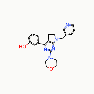 Oc1cccc(-c2nc(N3CCOCC3)nc3c2CCN3Cc2cccnc2)c1